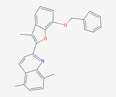 Cc1ccc(C)c2nc(-c3oc4c(OCc5ccccc5)cccc4c3C)ccc12